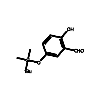 CC(C)(C)[Si](C)(C)Oc1ccc(O)c(C=O)c1